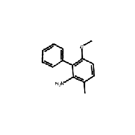 COc1ccc(C)c(N)c1-c1ccccc1